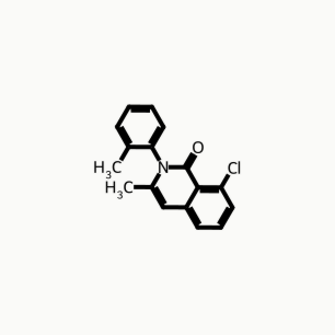 Cc1ccccc1-n1c(C)cc2cccc(Cl)c2c1=O